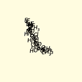 Cn1c(-c2cn([C@@H]3CC3(F)F)nc2C(F)(F)F)cnc1C(=O)Nc1ccc(C(=O)NC2[C@H]3CN(C(=O)N[C@@H]4CN(C(=O)OC(C)(C)C)C[C@H]4O)C[C@@H]23)c(Cl)c1